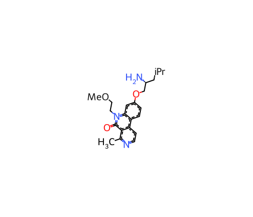 COCCn1c(=O)c2c(C)nccc2c2ccc(OC[C@@H](N)CC(C)C)cc21